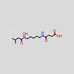 CC(C)CC(=O)N(O)CCCCCNC(=O)CCC(=O)O